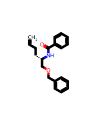 C=CCC[C@@H](COCc1ccccc1)NC(=O)c1ccccc1